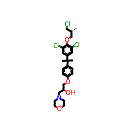 C[C@@H](CCl)COc1c(Cl)cc(C(C)(C)c2ccc(OC[C@@H](O)CN3CCOCC3)cc2)cc1Cl